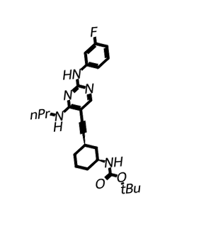 CCCNc1nc(Nc2cccc(F)c2)ncc1C#C[C@@H]1CCC[C@H](NC(=O)OC(C)(C)C)C1